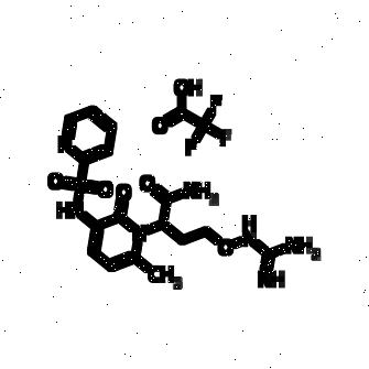 Cc1ccc(NS(=O)(=O)c2ccccn2)c(=O)n1C(CCONC(=N)N)C(N)=O.O=C(O)C(F)(F)F